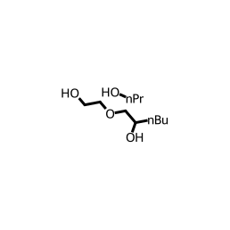 CCCCC(O)COCCO.CCCO